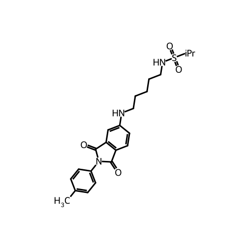 Cc1ccc(N2C(=O)c3ccc(NCCCCCNS(=O)(=O)C(C)C)cc3C2=O)cc1